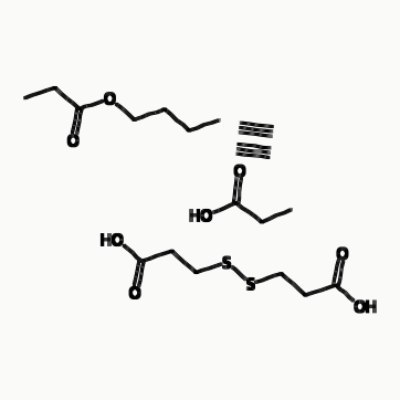 C#C.C#C.CCC(=O)O.CCCCOC(=O)CC.O=C(O)CCSSCCC(=O)O